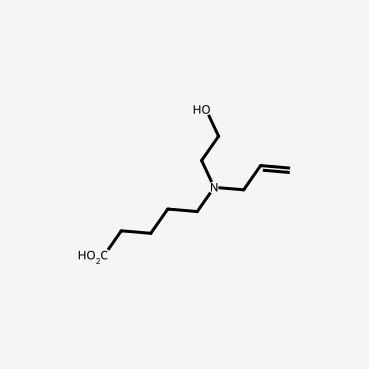 C=CCN(CCO)CCCCC(=O)O